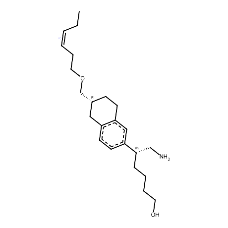 CC/C=C\CCOC[C@@H]1CCc2cc([C@H](CN)CCCCO)ccc2C1